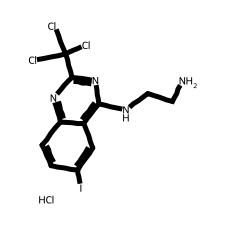 Cl.NCCNc1nc(C(Cl)(Cl)Cl)nc2ccc(I)cc12